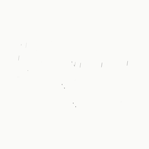 FC(F)(F)c1cccc(Cc2cc(Nc3ccc(Cl)c(C(F)(F)F)c3)ncn2)c1